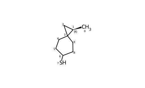 C[C@@H]1CC12CCC(S)CC2